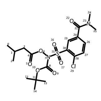 CC(C)CC(=O)ON(C(=O)OC(C)(C)C)S(=O)(=O)c1cc(C(=O)N(C)C)ccc1Cl